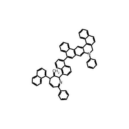 C=C1C(c2cccc3ccccc23)C=CC(c2ccccc2)=NC1c1cccc2c(-c3cc4cc5c(cc4c4ccccc34)-c3c(ccc4ccccc34)CN5c3ccccc3)cccc12